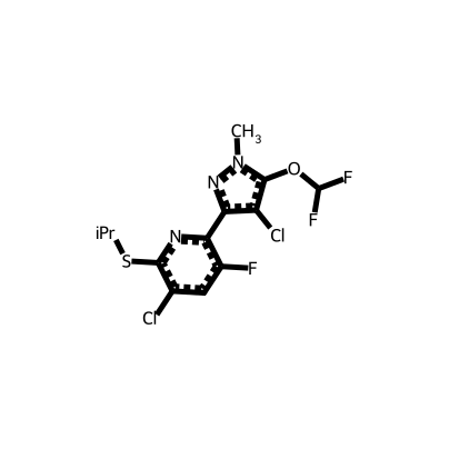 CC(C)Sc1nc(-c2nn(C)c(OC(F)F)c2Cl)c(F)cc1Cl